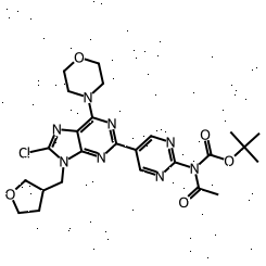 CC(=O)N(C(=O)OC(C)(C)C)c1ncc(-c2nc(N3CCOCC3)c3nc(Cl)n(CC4CCOC4)c3n2)cn1